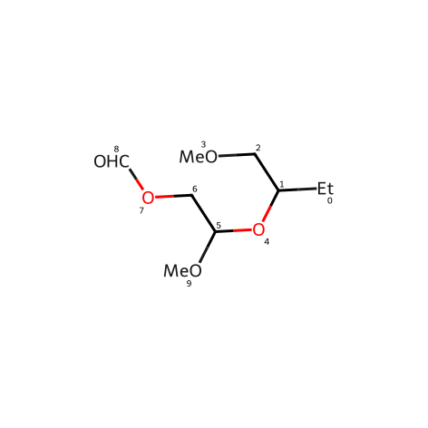 CCC(COC)OC(COC=O)OC